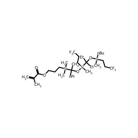 C=C(C)C(=O)OCCC[Si](C)(C)C(C)(CCC)O[Si](C)(CCC(F)(F)F)C(CC)(CC)O[Si](C)(CCCC)CCC(F)(F)F